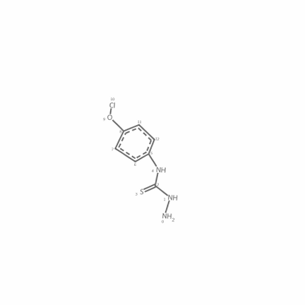 NNC(=S)Nc1ccc(OCl)cc1